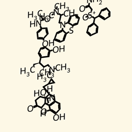 CC(=O)Nc1ccc(O)cc1.CC(CN1c2ccccc2Sc2ccccc21)N(C)C.CC[C@@H](c1cccc(O)c1)[C@@H](C)CN(C)C.NC(=O)C[S+]([O-])C(c1ccccc1)c1ccccc1.O=C1CC[C@@]2(O)[C@H]3Cc4ccc(O)c5c4[C@@]2(CCN3CC2CC2)[C@H]1O5